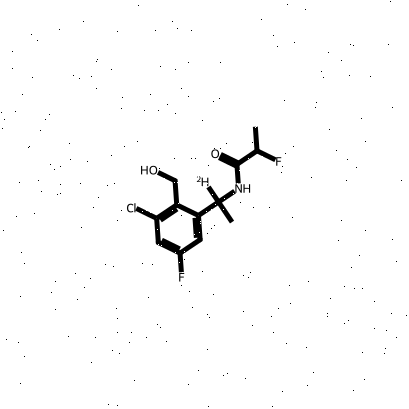 [2H]C(C)(NC(=O)C(C)F)c1cc(F)cc(Cl)c1CO